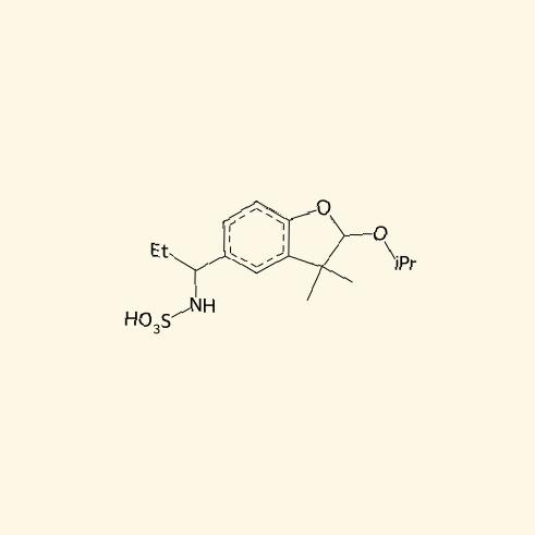 CCC(NS(=O)(=O)O)c1ccc2c(c1)C(C)(C)C(OC(C)C)O2